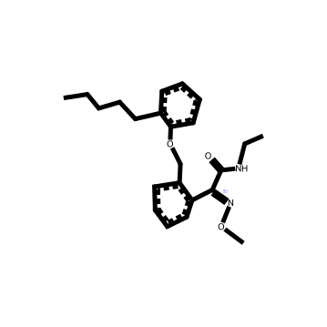 CCCCCc1ccccc1OCc1ccccc1/C(=N\OC)C(=O)NCC